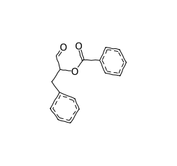 O=CC(Cc1ccccc1)OC(=O)c1ccccc1